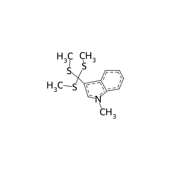 CSC(SC)(SC)c1cn(C)c2ccccc12